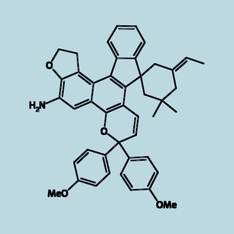 C/C=C1\CC(C)(C)CC2(C1)c1ccccc1-c1c2c2c(c3cc(N)c4c(c13)CCO4)OC(c1ccc(OC)cc1)(c1ccc(OC)cc1)C=C2